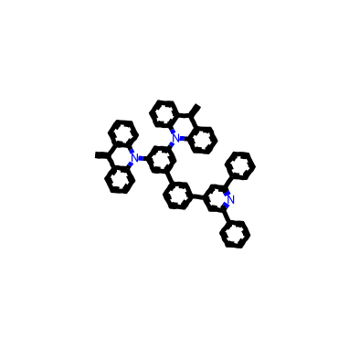 C=C1c2ccccc2N(c2cc(-c3cccc(-c4cc(-c5ccccc5)nc(-c5ccccc5)c4)c3)cc(N3c4ccccc4C(=C)c4ccccc43)c2)c2ccccc21